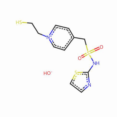 O=S(=O)(Cc1cc[n+](CCS)cc1)Nc1nccs1.[OH-]